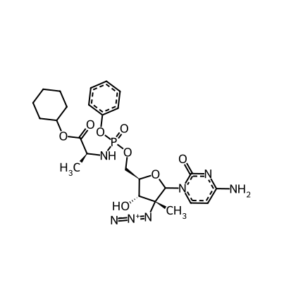 C[C@H](NP(=O)(OC[C@H]1OC(n2ccc(N)nc2=O)[C@](C)(N=[N+]=[N-])[C@@H]1O)Oc1ccccc1)C(=O)OC1CCCCC1